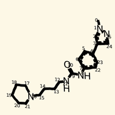 Cn1cc(-c2ccc(NC(=O)NCCCCN3CCCCC3)cc2)cn1